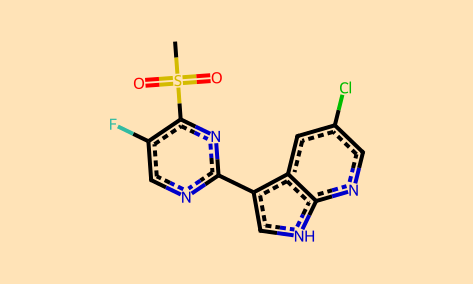 CS(=O)(=O)c1nc(-c2c[nH]c3ncc(Cl)cc23)ncc1F